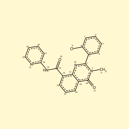 Cn1c(-c2ccccc2Cl)nc2c(C(=O)Nc3ccccn3)cccc2c1=O